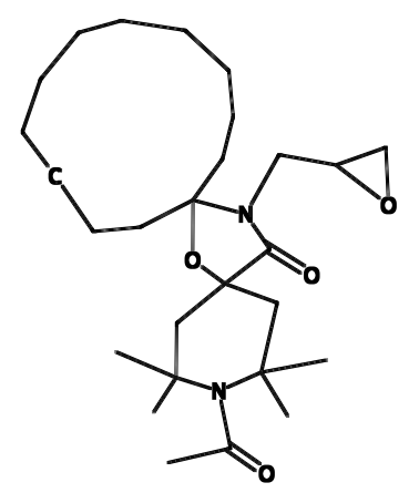 CC(=O)N1C(C)(C)CC2(CC1(C)C)OC1(CCCCCCCCCCC1)N(CC1CO1)C2=O